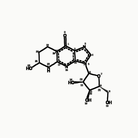 O=c1c2ncn(C3O[C@H](CO)[C@@H](O)[C@H]3O)c2nc2n1CCC(O)N2